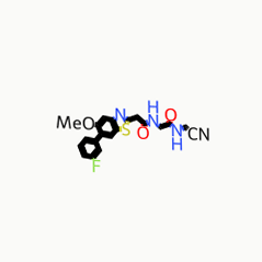 COc1cc2nc(CC(=O)NCC(=O)NCC#N)sc2cc1-c1cccc(F)c1